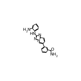 NC(=O)c1cccc(-c2ccc3nc(Nc4ccccc4N)nn3c2)c1